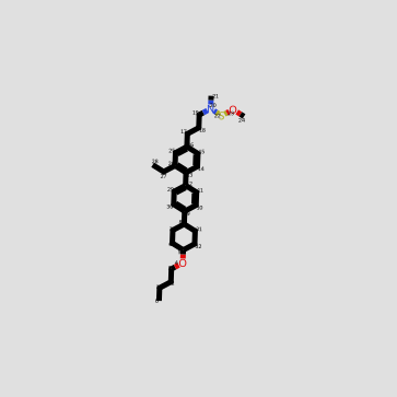 CCCCOC1CCC(c2ccc(-c3ccc(CCCN(C)SOC)cc3CC)cc2)CC1